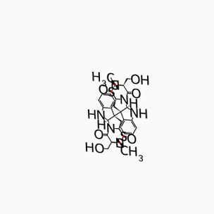 CN1C(=O)C23C[C@]4([C@]56C[C@@]78SS[C@@](CO)(C(=O)N7[C@H]5Nc5ccccc56)N(C)C8=O)c5ccccc5N[C@@H]4N2C(=O)C1(CO)SS3